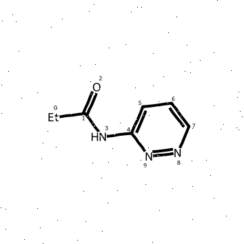 CCC(=O)Nc1cccnn1